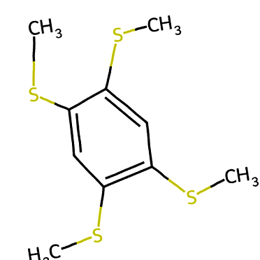 CSc1cc(SC)c(SC)cc1SC